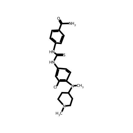 CN1CCC(N(C)c2ccc(NC(=S)Nc3ccc(C(N)=O)cc3)cc2Cl)CC1